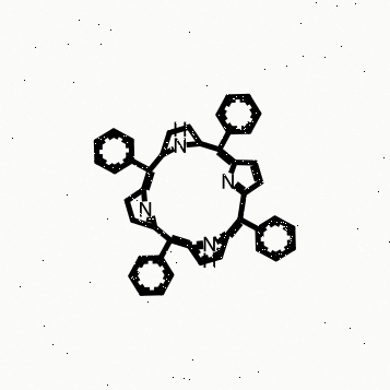 C1=CC2=C(c3ccccc3)C3CCC(N3)C(c3ccccc3)=C3CCC(=N3)C(c3ccccc3)=c3ccc([nH]3)=C(c3ccccc3)C1=N2